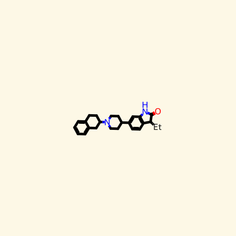 CCC1C(=O)Nc2cc(C3CCN(C4CCc5ccccc5C4)CC3)ccc21